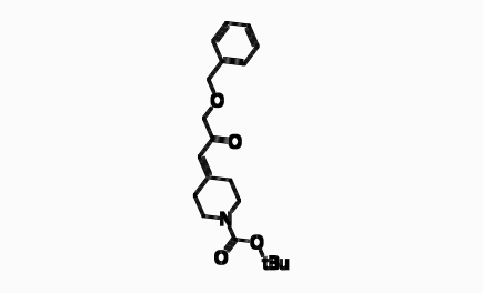 CC(C)(C)OC(=O)N1CCC(=CC(=O)COCc2ccccc2)CC1